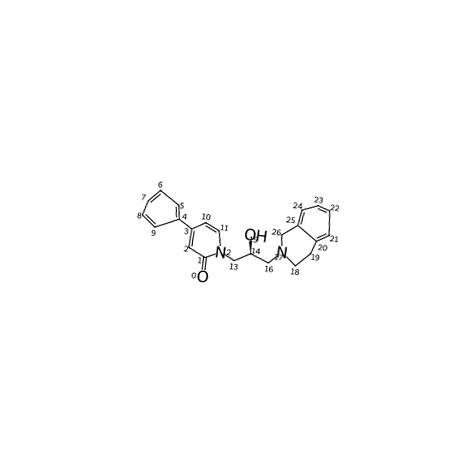 O=c1cc(-c2ccccc2)ccn1C[C@@H](O)CN1CCc2ccccc2C1